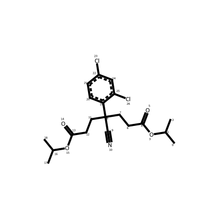 CC(C)OC(=O)CCC(C#N)(CCC(=O)OC(C)C)c1ccc(Cl)cc1Cl